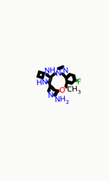 CC1Oc2cc(cnc2N)/C(NC2CCC2)=C(/C=N)Cn2ccnc2-c2ccc(F)cc21